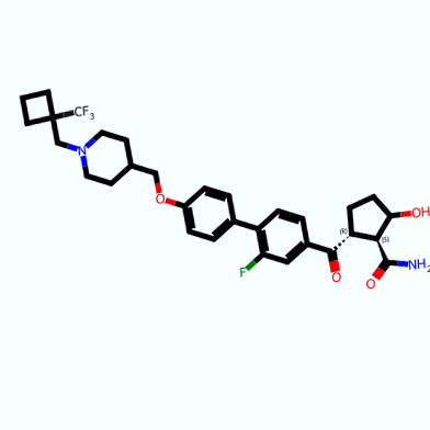 NC(=O)[C@@H]1C(O)CC[C@H]1C(=O)c1ccc(-c2ccc(OCC3CCN(CC4(C(F)(F)F)CCC4)CC3)cc2)c(F)c1